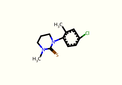 Cc1cc(Cl)ccc1N1CCCN(C)C1=S